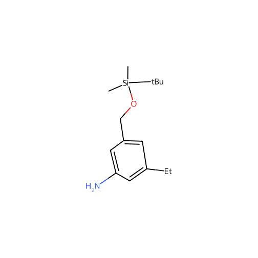 CCc1cc(N)cc(CO[Si](C)(C)C(C)(C)C)c1